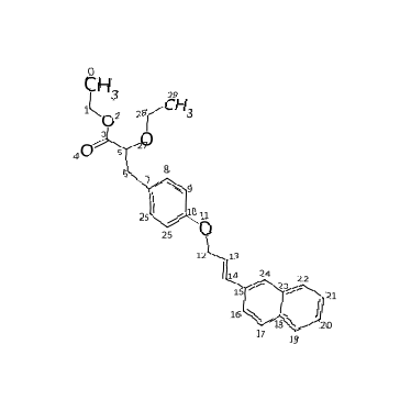 CCOC(=O)C(Cc1ccc(OCC=Cc2ccc3ccccc3c2)cc1)OCC